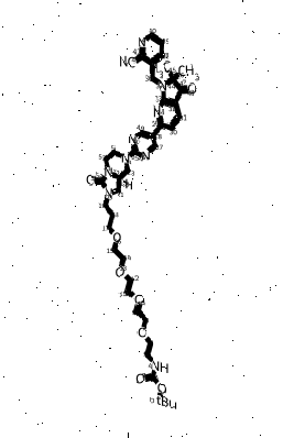 CC(C)(C)OC(=O)NCCOCCOCCOCCOCCCN1C[C@@H]2CN(c3ncc(-c4ccc5c(n4)N(Cc4cccnc4C#N)C(C)(C)C5=O)cn3)CCN2C1=O